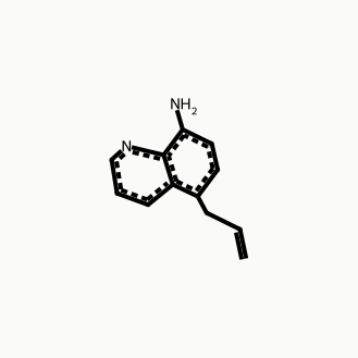 C=CCc1ccc(N)c2ncccc12